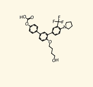 O=C(O)Oc1ccc(-c2ccc(OCCCCO)c(-c3ccc(N4CCCC4)c(C(F)(F)F)c3)c2)cc1